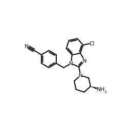 N#Cc1ccc(Cn2c(N3CCC[C@H](N)C3)nc3c(Cl)cccc32)cc1